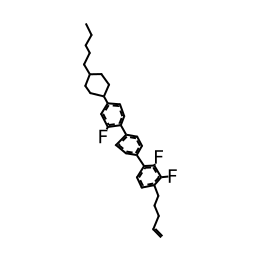 C=CCCCc1ccc(-c2ccc(-c3ccc(C4CCC(CCCCC)CC4)cc3F)cc2)c(F)c1F